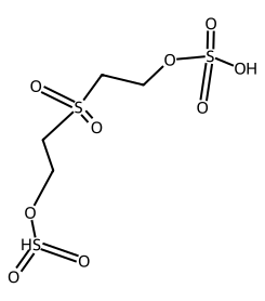 O=[SH](=O)OCCS(=O)(=O)CCOS(=O)(=O)O